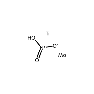 O=[N+]([O-])O.[Mo].[Ti]